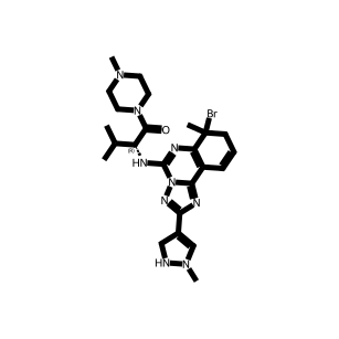 CC(C)[C@@H](Nc1nc2c(c3nc(C4=CN(C)NC4)nn13)C=CCC2(C)Br)C(=O)N1CCN(C)CC1